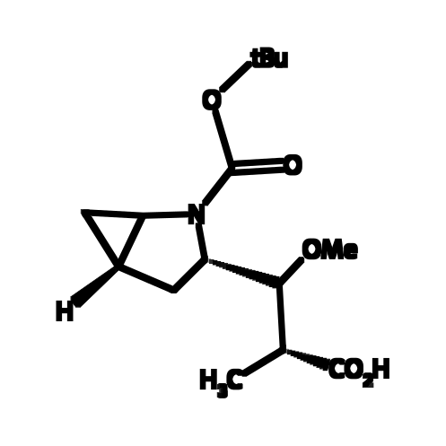 COC([C@@H](C)C(=O)O)[C@@H]1C[C@@H]2CC2N1C(=O)OC(C)(C)C